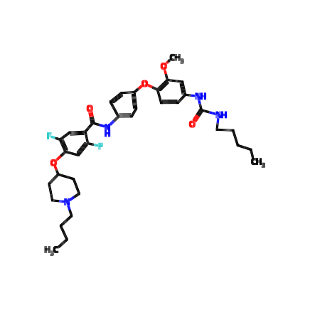 CCCCCNC(=O)Nc1ccc(Oc2ccc(NC(=O)c3cc(F)c(OC4CCN(CCCC)CC4)cc3F)cc2)c(OC)c1